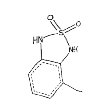 Cc1cccc2c1NS(=O)(=O)N2